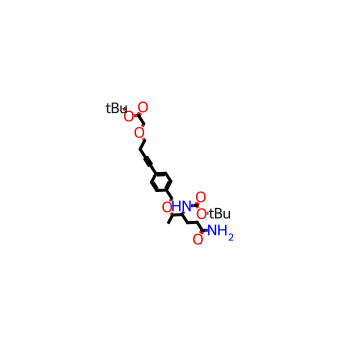 CC(OCc1ccc(C#CCCOCC(=O)OC(C)(C)C)cc1)C(CCC(N)=O)NC(=O)OC(C)(C)C